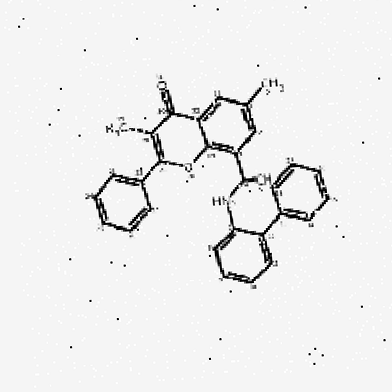 Cc1cc([C@@H](C)Nc2ccccc2-c2ccccc2)c2oc(-c3ccccc3)c(C)c(=O)c2c1